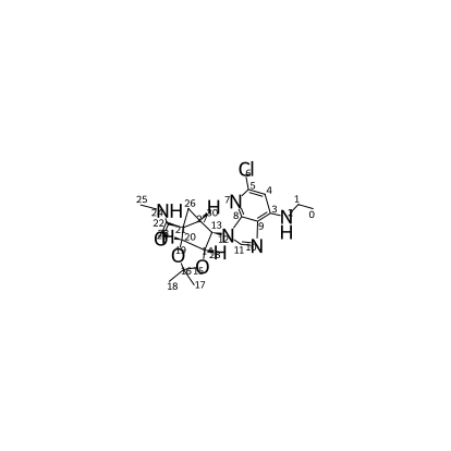 CCNc1cc(Cl)nc2c1ncn2[C@H]1[C@@H]2OC(C)(C)O[C@@H]2[C@]2(C(=O)NC)C[C@H]12